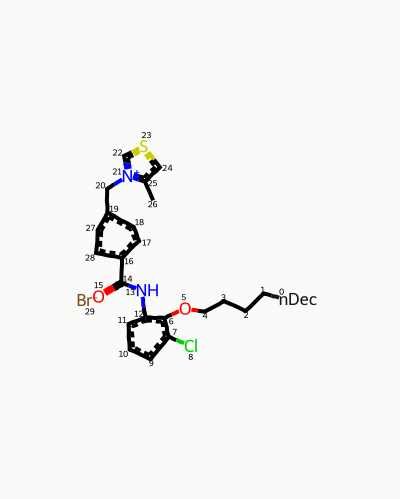 CCCCCCCCCCCCCCOc1c(Cl)cccc1NC(=O)c1ccc(C[n+]2cscc2C)cc1.[Br-]